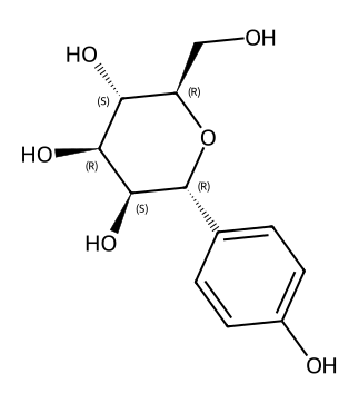 OC[C@H]1O[C@H](c2ccc(O)cc2)[C@@H](O)[C@@H](O)[C@@H]1O